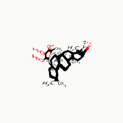 CC1O[C@@H](C[C@]23CCC(C)(C)CC2C2=CCC4[C@@]5(C)CCC(=O)C(C)(C)C5CC[C@@]4(C)[C@]2(C)CC3)C(O)C(O)[C@H]1O